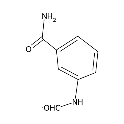 NC(=O)c1cccc(N[C]=O)c1